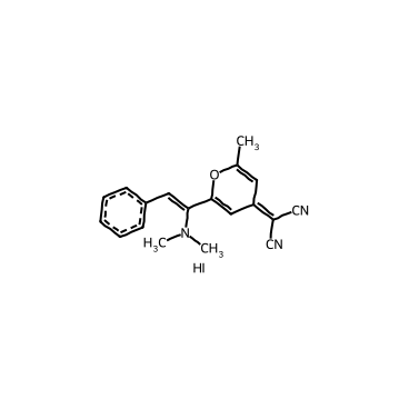 CC1=CC(=C(C#N)C#N)C=C(C(=Cc2ccccc2)N(C)C)O1.I